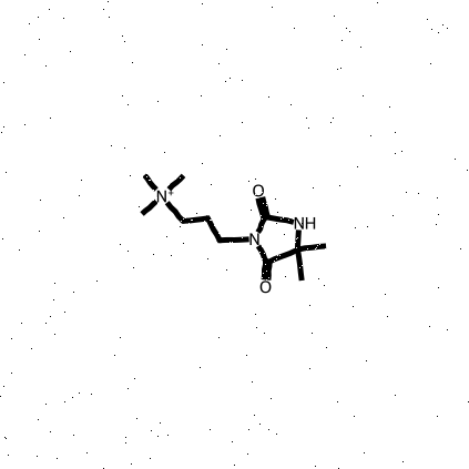 CC1(C)NC(=O)N(CCC[N+](C)(C)C)C1=O